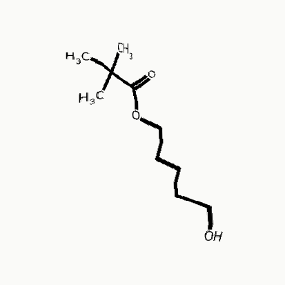 CC(C)(C)C(=O)OCCCCCO